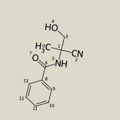 CC(C#N)(CO)NC(=O)c1ccccc1